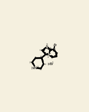 Br.Brc1cccn2c(C3CCNCC3)cnc12